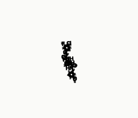 COc1cccc(CNC(=O)[C@@H]2C[C@H](NC(=O)COc3ccc(Cl)c(F)c3)C3CC2C3)c1